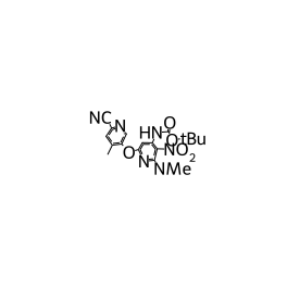 CNc1nc(Oc2cnc(C#N)cc2C)cc(NC(=O)OC(C)(C)C)c1[N+](=O)[O-]